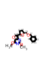 COc1nc(OC)c2occ(C3CC[C@@H](COCc4ccccc4)O3)c2n1